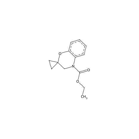 CCOC(=O)N1CC2(CC2)Oc2ccccc21